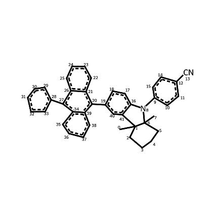 CC12CCCCC1(C)N(c1ccc(C#N)cc1)c1ccc(-c3c4ccccc4c(-c4ccccc4)c4ccccc34)cc12